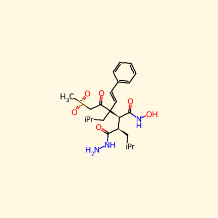 CC(C)C[C@@H](C(=O)NN)[C@H](C(=O)NO)C(C=Cc1ccccc1)(CC(C)C)C(=O)CS(C)(=O)=O